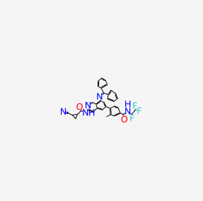 Cc1cc(C(=O)NC(F)C(F)F)ccc1-c1cc(N=C(c2ccccc2)c2ccccc2)c2cnc(NC(=O)C3CC3C#N)cc2c1